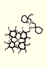 CC(C)C1(C[NH2+]CC2(C(C)C)CCCCC2)CCCCC1.Fc1c(F)c(F)c([B-](c2c(F)c(F)c(F)c(F)c2F)(c2c(F)c(F)c(F)c(F)c2F)c2c(F)c(F)c(F)c(F)c2F)c(F)c1F